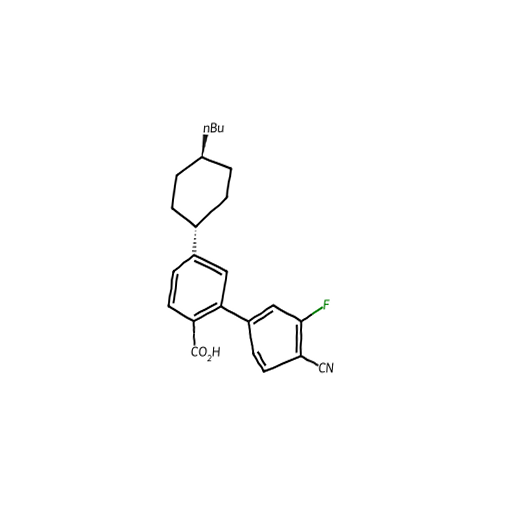 CCCC[C@H]1CC[C@H](c2ccc(C(=O)O)c(-c3ccc(C#N)c(F)c3)c2)CC1